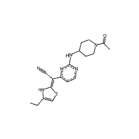 CCC1=CSC(=C(C#N)c2ccnc(NC3CCN(C(C)=O)CC3)n2)N1